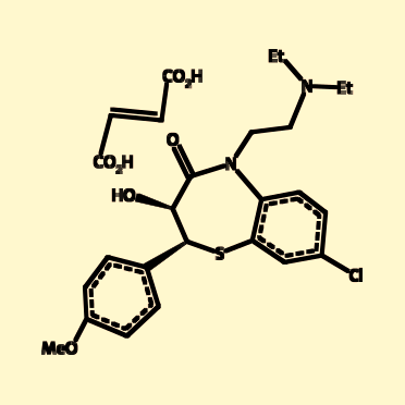 CCN(CC)CCN1C(=O)[C@H](O)[C@H](c2ccc(OC)cc2)Sc2cc(Cl)ccc21.O=C(O)C=CC(=O)O